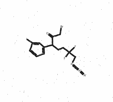 [N-]=[N+]=NCC(F)(F)CCC(C(=O)CBr)c1cccc(I)c1